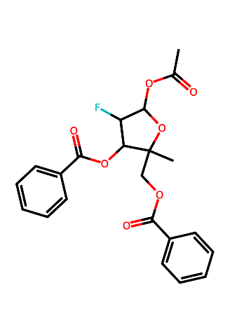 CC(=O)OC1OC(C)(COC(=O)c2ccccc2)C(OC(=O)c2ccccc2)C1F